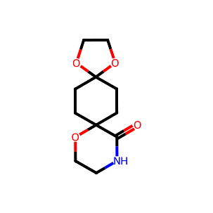 O=C1NCCOC12CCC1(CC2)OCCO1